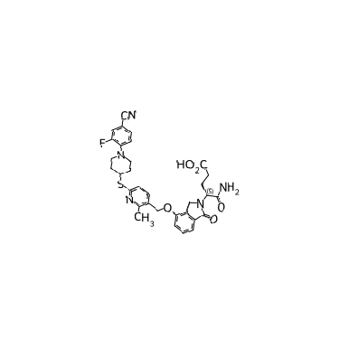 Cc1nc(SC2CCN(c3ccc(C#N)cc3F)CC2)ccc1COc1cccc2c1CN([C@@H](CCC(=O)O)C(N)=O)C2=O